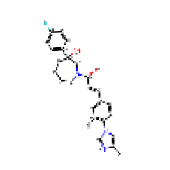 Cc1cn(-c2ccc(/C=C/C(=O)N3CCCCC(O)(c4ccc(F)cc4)C3)cc2C)cn1